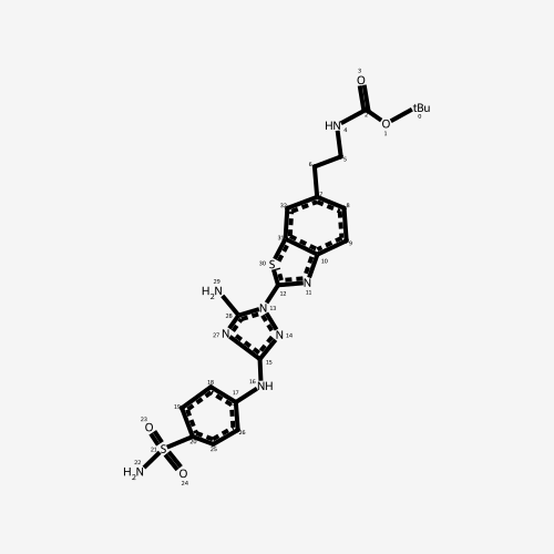 CC(C)(C)OC(=O)NCCc1ccc2nc(-n3nc(Nc4ccc(S(N)(=O)=O)cc4)nc3N)sc2c1